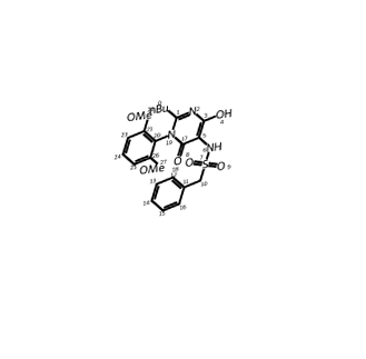 CCCCc1nc(O)c(NS(=O)(=O)Cc2ccccc2)c(=O)n1-c1c(OC)cccc1OC